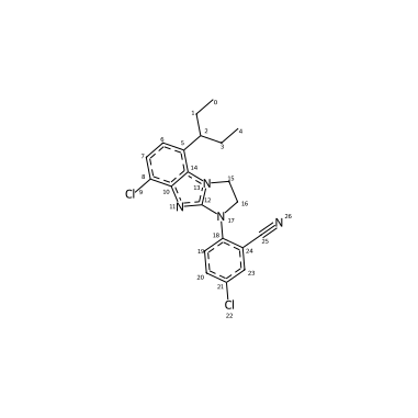 CCC(CC)c1ccc(Cl)c2nc3n(c12)CCN3c1ccc(Cl)cc1C#N